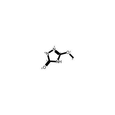 COC1=N[N]C(=O)N1